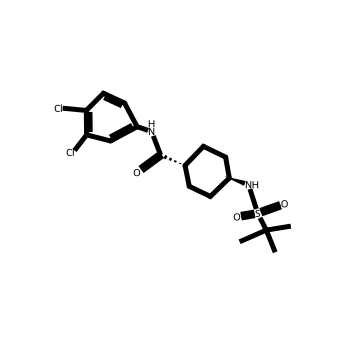 CC(C)(C)S(=O)(=O)N[C@H]1CC[C@H](C(=O)Nc2ccc(Cl)c(Cl)c2)CC1